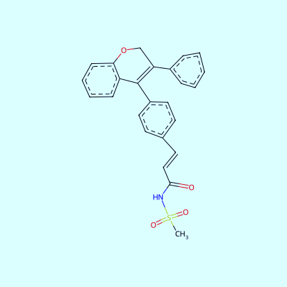 CS(=O)(=O)NC(=O)C=Cc1ccc(C2=C(c3ccccc3)COc3ccccc32)cc1